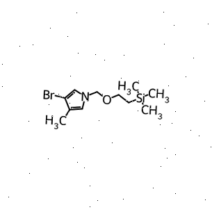 Cc1cn(COCC[Si](C)(C)C)cc1Br